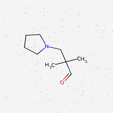 CC(C)(C=O)CN1CCCC1